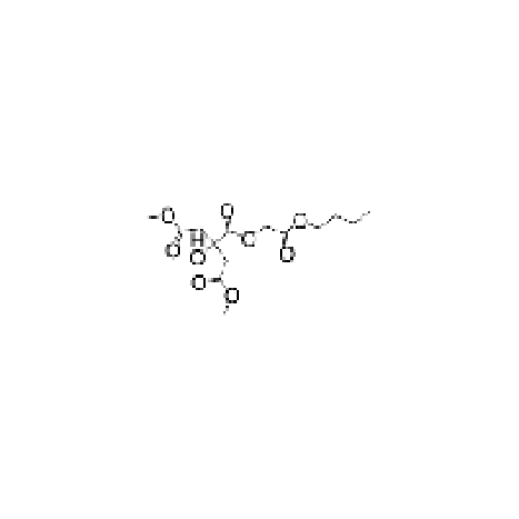 CCCCOC(=O)COC(=O)C(O)(CC(=O)OC)CC(=O)OC